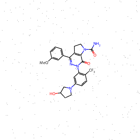 COc1cccc(-c2nn(-c3cc(N4CCC(O)C4)ccc3C(F)(F)F)c(=O)c3c2CCN3C(N)=O)c1